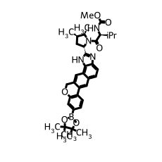 COC(=O)N[C@H](C(=O)N1[C@H](C)[C@H](C)C[C@H]1c1nc2ccc3cc4c(cc3c2[nH]1)COc1cc(B2OC(C)(C)C(C)(C)O2)ccc1-4)C(C)C